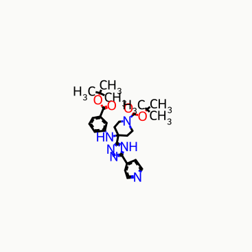 CC(C)(C)OC(=O)c1cccc(NC2(c3nnc(-c4ccncc4)[nH]3)CCN(C(=O)OC(C)(C)C)CC2)c1